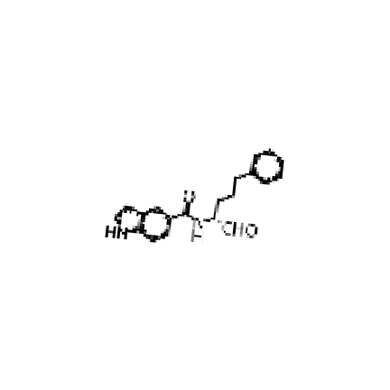 O=[C][C@@H](CCCc1ccccc1)NC(=O)c1ccc2[nH]ccc2c1